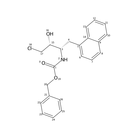 O=C(N[C@@H](Cc1cccc2ccccc12)[C@@H](O)CCl)OCc1ccccc1